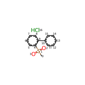 CS(=O)(=O)c1ccccc1-c1ccccc1.Cl